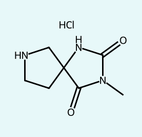 CN1C(=O)NC2(CCNC2)C1=O.Cl